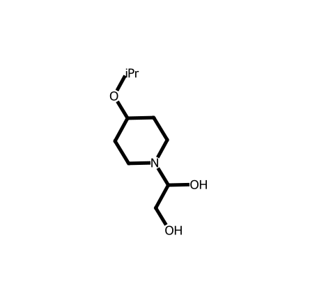 CC(C)OC1CCN(C(O)CO)CC1